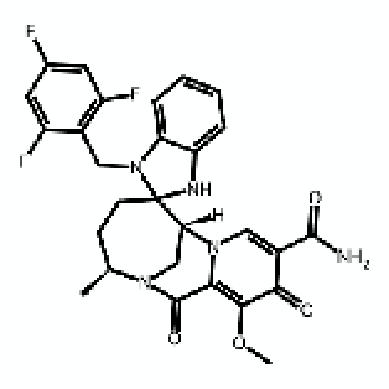 COc1c2n(cc(C(N)=O)c1=O)[C@@H]1CN(C2=O)[C@@H](C)CCC12Nc1ccccc1N2Cc1c(F)cc(F)cc1F